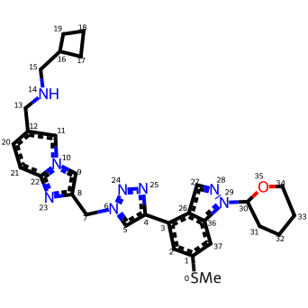 CSc1cc(-c2cn(Cc3cn4cc(CNCC5CCC5)ccc4n3)nn2)c2cnn(C3CCCCO3)c2c1